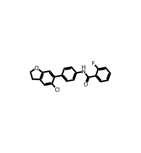 O=C(Nc1ccc(-c2cc3c(cc2Cl)CCO3)cc1)c1ccccc1F